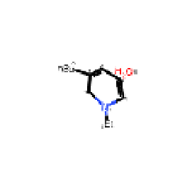 CCCCC1=CC=CN(CC)C1.O